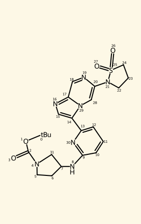 CC(C)(C)OC(=O)N1CCC(Nc2cccc(-c3cnc4cnc(N5CCCS5(=O)=O)cn34)n2)C1